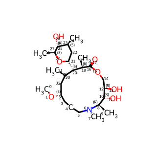 CO[C@H]1CCCN(C)[C@H](C)[C@@H](O)[C@H](O)COC(=O)[C@H](C)[C@@H](C2C[C@H](C)[C@@H](O)[C@H](C)O2)[C@H](C)C1